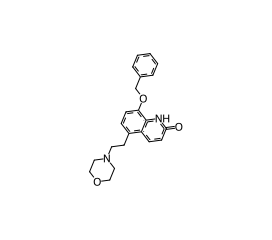 O=c1ccc2c(CCN3CCOCC3)ccc(OCc3ccccc3)c2[nH]1